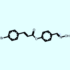 O=C(C=Cc1ccc(Br)cc1)Oc1ccc(/C=N/O)cc1